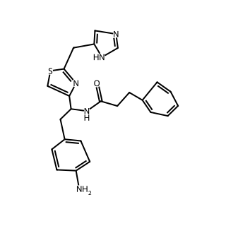 Nc1ccc(CC(NC(=O)CCc2ccccc2)c2csc(Cc3cnc[nH]3)n2)cc1